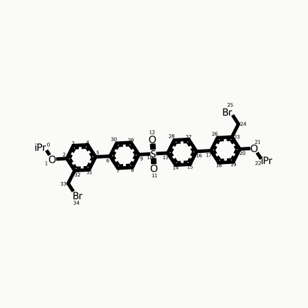 CC(C)Oc1ccc(-c2ccc(S(=O)(=O)c3ccc(-c4ccc(OC(C)C)c(CBr)c4)cc3)cc2)cc1CBr